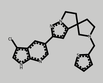 Clc1c[nH]c2ncc(-c3cc4n(n3)CCC43CCN(Cc4cccs4)C3)cc12